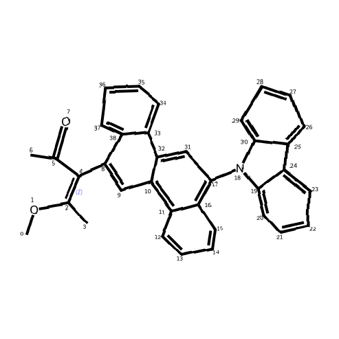 CO/C(C)=C(\C(C)=O)c1cc2c3ccccc3c(-n3c4ccccc4c4ccccc43)cc2c2ccccc12